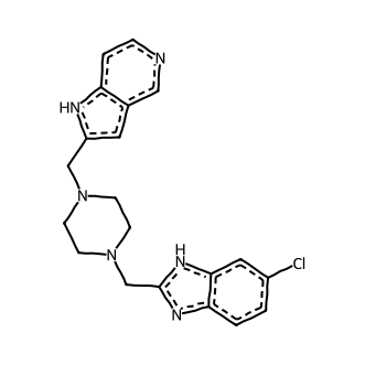 Clc1ccc2nc(CN3CCN(Cc4cc5cnccc5[nH]4)CC3)[nH]c2c1